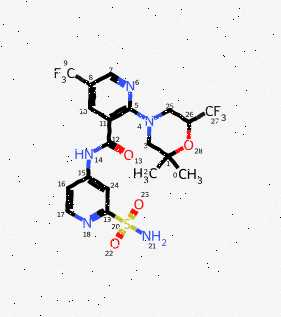 CC1(C)CN(c2ncc(C(F)(F)F)cc2C(=O)Nc2ccnc(S(N)(=O)=O)c2)CC(C(F)(F)F)O1